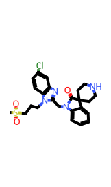 CS(=O)(=O)CCCn1c(CN2C(=O)C3(CCNCC3)c3ccccc32)nc2cc(Cl)ccc21